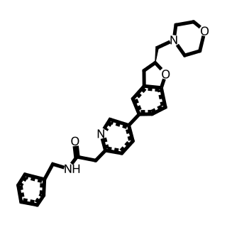 O=C(Cc1ccc(-c2ccc3c(c2)C[C@@H](CN2CCOCC2)O3)cn1)NCc1ccccc1